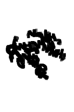 CC(Nc1nc(N)nc(N)c1C#N)c1nc2c(F)ccc(F)c2c(=O)n1N1CCN(C(=O)OC(C)(C)C)CC1